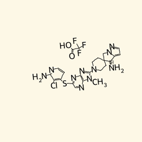 Cn1c(N2CCC3(CC2)Cn2nccc2[C@H]3N)nc2nc(Sc3ccnc(N)c3Cl)cnc21.O=C(O)C(F)(F)F